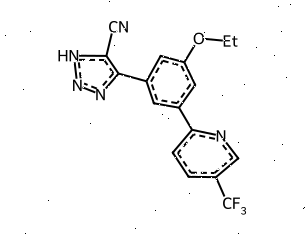 CCOc1cc(-c2ccc(C(F)(F)F)cn2)cc(-c2nn[nH]c2C#N)c1